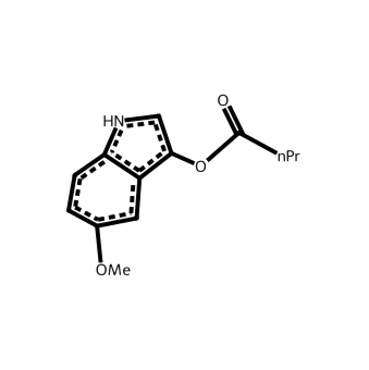 CCCC(=O)Oc1c[nH]c2ccc(OC)cc12